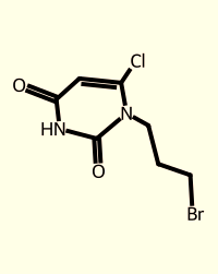 O=c1cc(Cl)n(CCCBr)c(=O)[nH]1